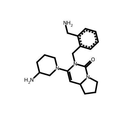 NCc1ccccc1CN1C(=O)N2CCCC2C=C1N1CCCC(N)C1